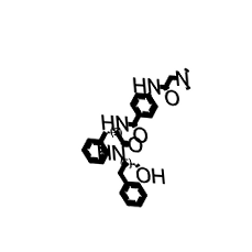 CN(C)CC(=O)Nc1ccc(C(=O)N[C@@H](Cc2ccccc2)C(=O)N[C@H](CO)Cc2ccccc2)cc1